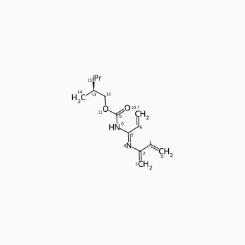 C=CC(=C)/N=C(\C=C)NC(=O)OC[C@@H](C)C(C)C